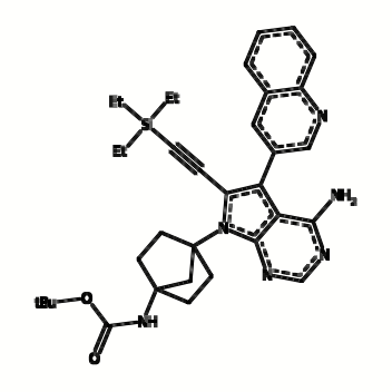 CC[Si](C#Cc1c(-c2cnc3ccccc3c2)c2c(N)ncnc2n1C12CCC(NC(=O)OC(C)(C)C)(CC1)C2)(CC)CC